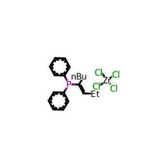 CCC=C(CCCC)P(c1ccccc1)c1ccccc1.[Cl][Zr]([Cl])([Cl])[Cl]